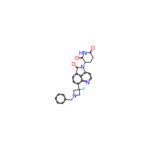 O=C1CCC(N2C(=O)c3ccc(C4(F)CN(Cc5ccccc5)C4)c4nccc2c34)C(=O)N1